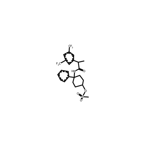 CC(C(=O)NC1(c2ccccc2)CCC(OS(C)(=O)=O)CC1)c1cc(C(F)(F)F)cc(C(F)(F)F)c1